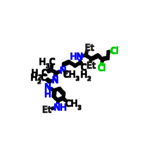 C=C(C/C=C\N(C)/C(=N/C(=C)Nc1ccc(C)c(NCC)c1)C(=C)C)NC(CC)/C(=C/C(Cl)=C\CCl)CC